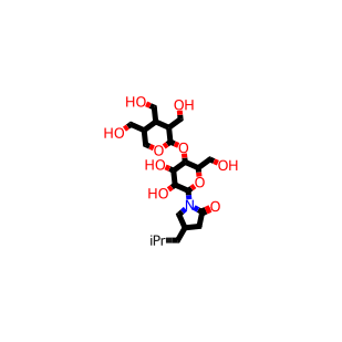 CC(C)CC1CC(=O)N(C2OC(CO)C(OC3OCC(CO)C(CO)C3CO)C(O)C2O)C1